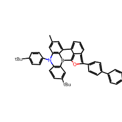 Cc1cc2c3c(c1)N(c1ccc(C(C)(C)C)cc1)c1ccc(C(C)(C)C)cc1B3c1oc(-c3ccc(-c4ccccc4)cc3)c3cccc-2c13